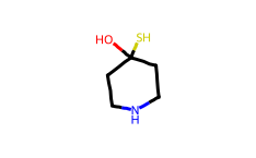 OC1(S)CCNCC1